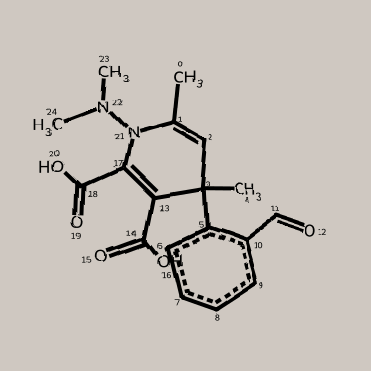 CC1=CC(C)(c2ccccc2C=O)C(C(=O)O)=C(C(=O)O)N1N(C)C